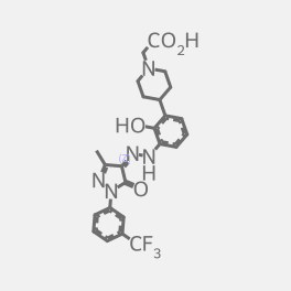 CC1=NN(c2cccc(C(F)(F)F)c2)C(=O)/C1=N\Nc1cccc(C2CCN(CC(=O)O)CC2)c1O